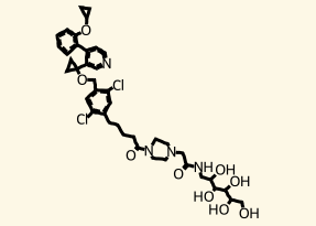 O=C(CN1CCN(C(=O)CCCCc2cc(Cl)c(COC3(c4cnccc4-c4ccccc4OC4CC4)CC3)cc2Cl)CC1)NCC(O)C(O)C(O)C(O)CO